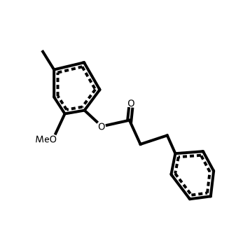 COc1cc(C)ccc1OC(=O)CCc1ccccc1